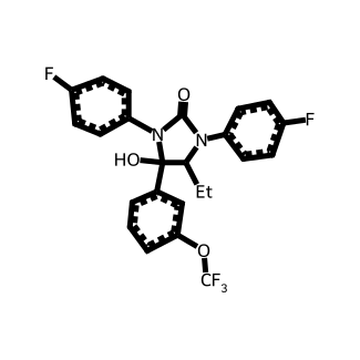 CCC1N(c2ccc(F)cc2)C(=O)N(c2ccc(F)cc2)C1(O)c1cccc(OC(F)(F)F)c1